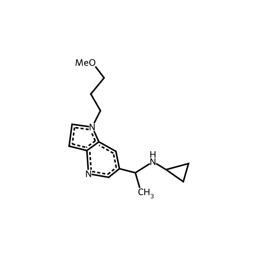 COCCCn1ccc2ncc(C(C)NC3CC3)cc21